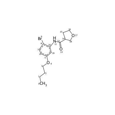 CCCCOc1ccc(Br)c(NC(=O)C2CCOC2)c1